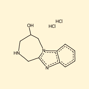 Cl.Cl.OC1CNCc2nc3ccccc3n2C1